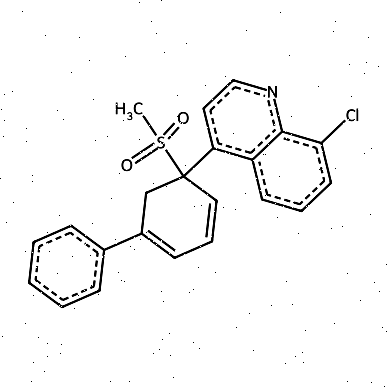 CS(=O)(=O)C1(c2ccnc3c(Cl)cccc23)C=CC=C(c2ccccc2)C1